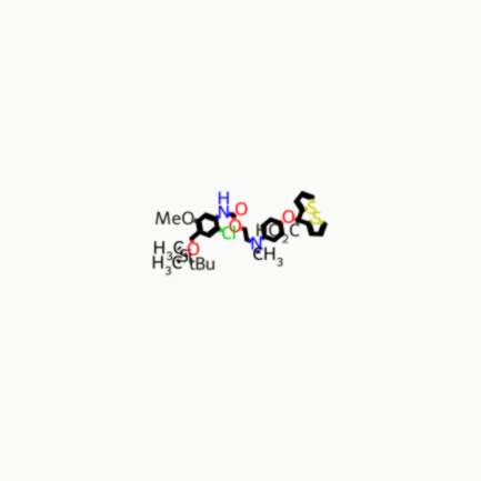 COc1cc(NC(=O)OCCN(C)C2CCC(OC(C(=O)O)(c3cccs3)c3cccs3)CC2)c(Cl)cc1CO[Si](C)(C)C(C)(C)C